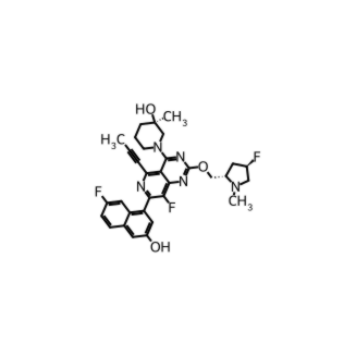 CC#Cc1nc(-c2cc(O)cc3ccc(F)cc23)c(F)c2nc(OC[C@@H]3C[C@@H](F)CN3C)nc(N3CCC[C@@](C)(O)C3)c12